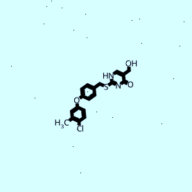 Cc1cc(Oc2ccc(CSc3nc(=O)c(CO)c[nH]3)cc2)ccc1Cl